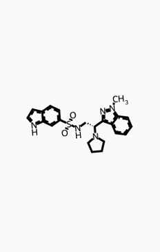 Cn1nc([C@@H](CNS(=O)(=O)c2ccc3cc[nH]c3c2)N2CCCC2)c2ccccc21